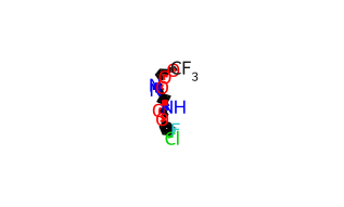 O=C(COc1ccc(Cl)c(F)c1)NC12CC(c3nnc([C@@H]4CC[C@H](COC(F)(F)F)O4)o3)(C1)C2